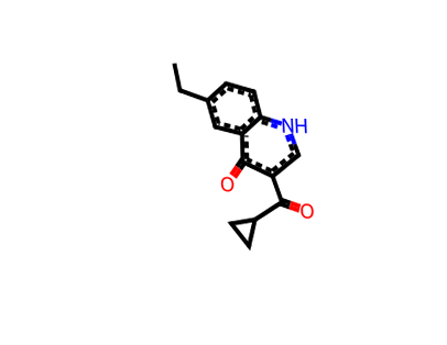 CCc1ccc2[nH]cc(C(=O)C3CC3)c(=O)c2c1